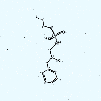 CCCCS(=O)(=O)NCC(S)Cc1ccccc1